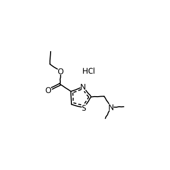 CCOC(=O)c1csc(CN(C)C)n1.Cl